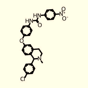 CN1CCc2cc(Oc3ccc(NC(=O)Nc4ccc([N+](=O)[O-])cc4)cc3)ccc2C1c1ccc(Cl)cc1